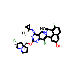 C#Cc1c(F)ccc2cc(O)cc(-c3ncc4c(NC5(C)CC5)nc(OC[C@@]56CCCN5C[C@H](F)C6)nc4c3F)c12